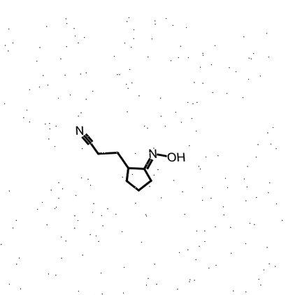 N#CCCC1CCC/C1=N\O